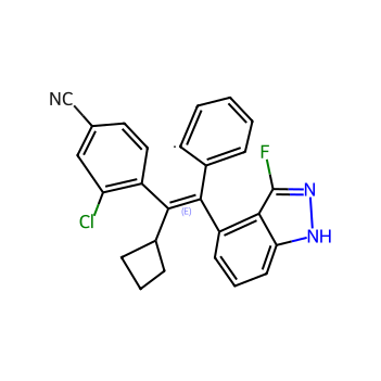 N#Cc1ccc(/C(=C(\c2[c]cccc2)c2cccc3[nH]nc(F)c23)C2CCC2)c(Cl)c1